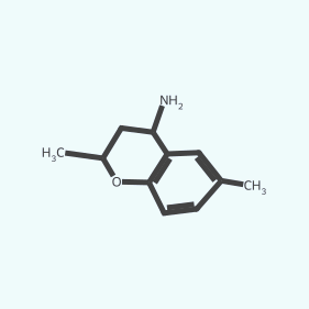 Cc1ccc2c(c1)C(N)CC(C)O2